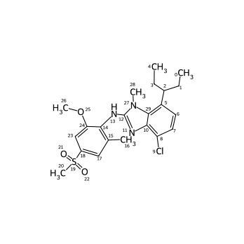 CCC(CC)c1ccc(Cl)c2nc(Nc3c(C)cc(S(C)(=O)=O)cc3OC)n(C)c12